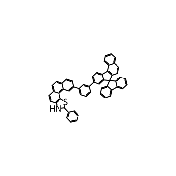 c1ccc(C2Nc3ccc4ccc5ccc(-c6cccc(-c7ccc8c(c7)C7(c9ccccc9-c9ccccc97)c7ccc9ccccc9c7-8)c6)cc5c4c3S2)cc1